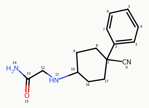 N#CC1(c2ccccc2)CCC(NCC(N)=O)CC1